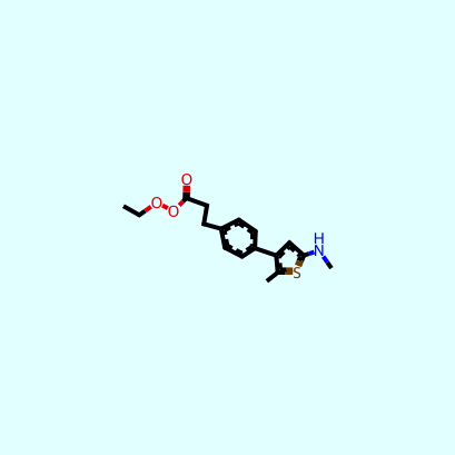 CCOOC(=O)CCc1ccc(-c2cc(NC)sc2C)cc1